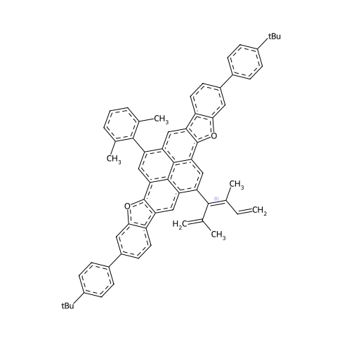 C=C/C(C)=C(\C(=C)C)c1cc2c3oc4cc(-c5ccc(C(C)(C)C)cc5)ccc4c3cc3c(-c4c(C)cccc4C)cc4c5oc6cc(-c7ccc(C(C)(C)C)cc7)ccc6c5cc1c4c32